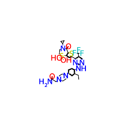 CCc1cc(N2CCN(CC(N)=O)CC2)ccc1Nc1ncc(C(F)(F)F)c(-c2cc3c(s2)C(=O)N(C2CC2)CCS3(O)O)n1